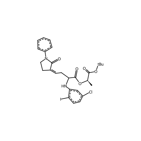 C[C@@H](OC(=O)C(C/C=C1/CCN(c2ccccc2)C1=O)Nc1cc(Cl)ccc1I)C(=O)OC(C)(C)C